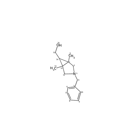 CC12CN(Cc3ccccc3)CC1(C)C2CO